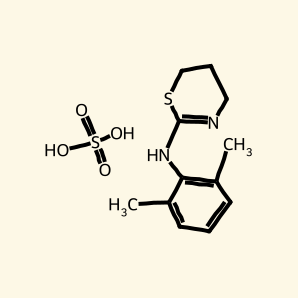 Cc1cccc(C)c1NC1=NCCCS1.O=S(=O)(O)O